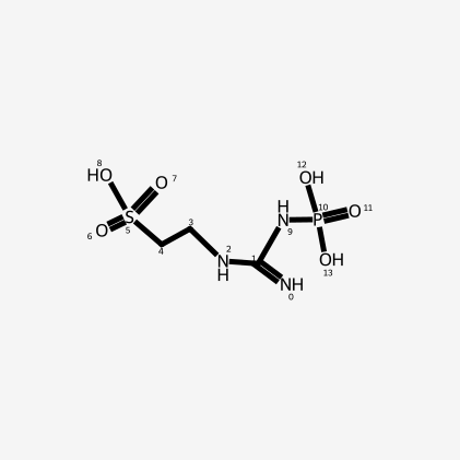 N=C(NCCS(=O)(=O)O)NP(=O)(O)O